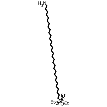 CCO[Si](CCCCCCCCCCCCCCCCCCCCCCCCCCCCCCCCN)(OCC)OCC